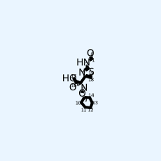 O=CNc1nc(C(=NOC2CCCCC2)C(=O)O)cs1